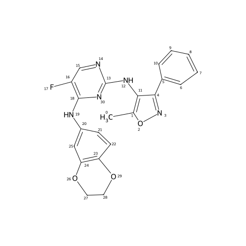 Cc1onc(-c2ccccc2)c1Nc1ncc(F)c(Nc2ccc3c(c2)OCCO3)n1